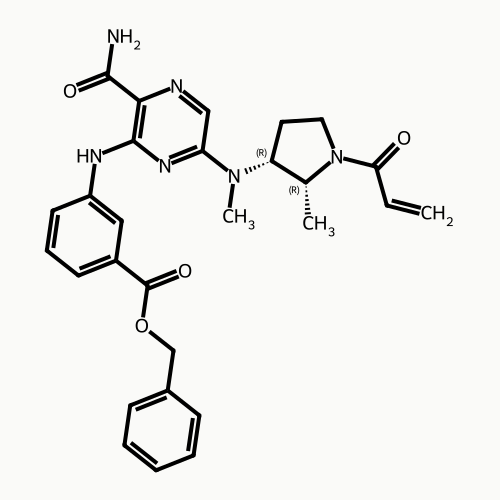 C=CC(=O)N1CC[C@@H](N(C)c2cnc(C(N)=O)c(Nc3cccc(C(=O)OCc4ccccc4)c3)n2)[C@H]1C